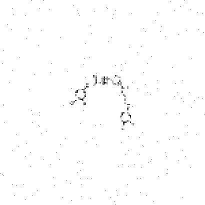 O=C(COc1ccc(Cl)c(F)c1)NNC1CCN(NCCCOc2ccc(Cl)c(F)c2)C1